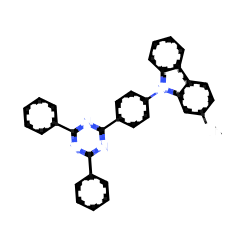 N#Cc1ccc2c3ccccc3n(-c3ccc(-c4nc(-c5ccccc5)nc(-c5ccccc5)n4)cc3)c2c1